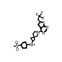 CS(=O)(=O)c1ccc(NC2CC3(CCN(c4ncnc5sc(CC(F)(F)F)cc45)C3)C2)cc1